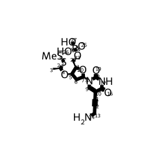 CSS[C@H](C)O[C@@H]1C[C@H](n2cc(C#CCN)c(=O)[nH]c2=O)O[C@@H]1COP(=O)(O)O